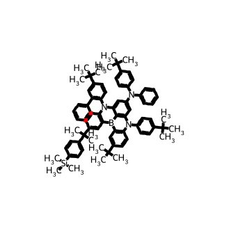 CC(C)(C)c1ccc(N(c2ccccc2)c2cc3c4c(c2)N(c2ccc(C(C)(C)C)cc2-c2ccccc2)c2ccc(C(C)(C)c5ccc([Si](C)(C)C)cc5)cc2B4c2cc(C(C)(C)C)ccc2N3c2ccc(C(C)(C)C)cc2)cc1